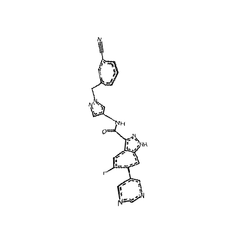 N#Cc1cccc(Cn2cc(NC(=O)c3n[nH]c4cc(-c5cncnc5)c(F)cc34)cn2)c1